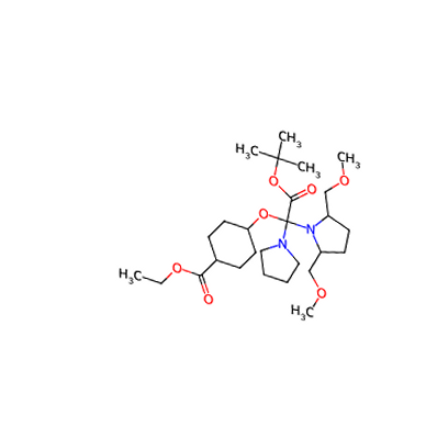 CCOC(=O)C1CCC(OC(C(=O)OC(C)(C)C)(N2CCCC2)N2C(COC)CCC2COC)CC1